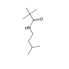 CC(C)CCNC(=O)C(C)(C)C